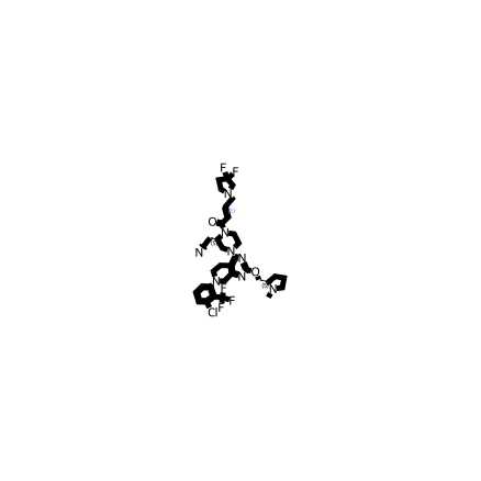 CN1CCC[C@H]1COc1nc2c(c(N3CCN(C(=O)/C=C/CN4CCC(F)(F)C4)[C@@H](CC#N)C3)n1)CCN(c1cccc(Cl)c1C(F)(F)F)C2